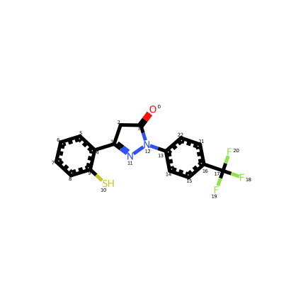 O=C1CC(c2ccccc2S)=NN1c1ccc(C(F)(F)F)cc1